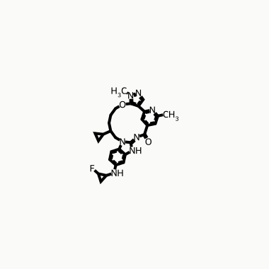 Cc1cc2cc(n1)-c1cnn(C)c1OCCCC(C1CC1)CN1/C(=N/C2=O)Nc2cc(NC3CC3F)ccc21